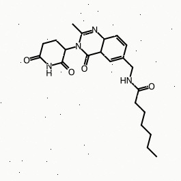 CCCCCCC(=O)NCC1=CC2C(=O)N(C3CCC(=O)NC3=O)C(C)=NC2C=C1